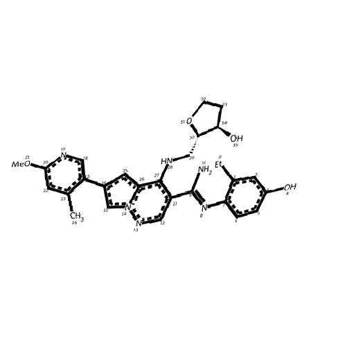 CCc1cc(O)ccc1/N=C(\N)c1cnn2cc(-c3cnc(OC)cc3C)cc2c1NC[C@@H]1OCC[C@H]1O